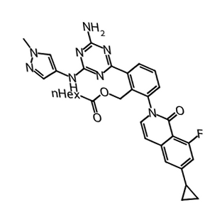 CCCCCCC(=O)OCc1c(-c2nc(N)nc(Nc3cnn(C)c3)n2)cccc1-n1ccc2cc(C3CC3)cc(F)c2c1=O